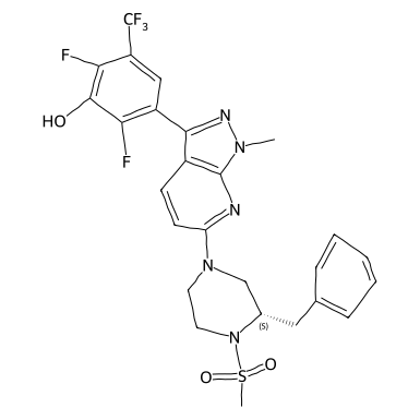 Cn1nc(-c2cc(C(F)(F)F)c(F)c(O)c2F)c2ccc(N3CCN(S(C)(=O)=O)[C@@H](Cc4ccccc4)C3)nc21